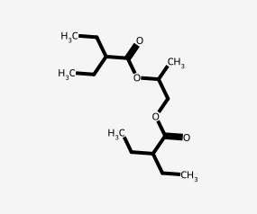 CCC(CC)C(=O)OCC(C)OC(=O)C(CC)CC